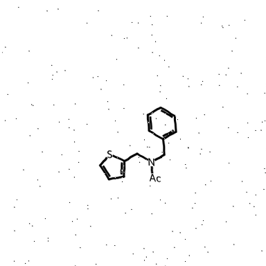 CC(=O)N(Cc1ccccc1)Cc1cccs1